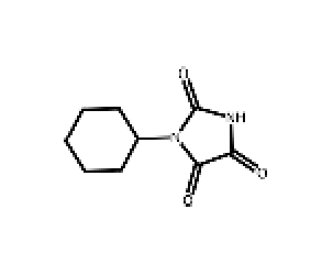 O=C1NC(=O)N(C2CCCCC2)C1=O